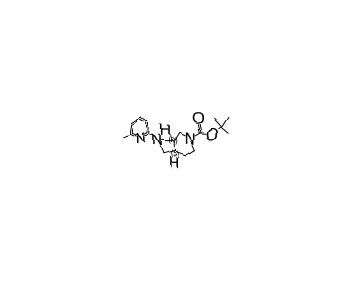 Cc1cccc(N2C[C@@H]3CCN(C(=O)OC(C)(C)C)C[C@@H]32)n1